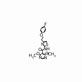 COc1ncnc(OC)c1C(=O)Nc1nc(CCOc2ccc(F)cc2)cs1